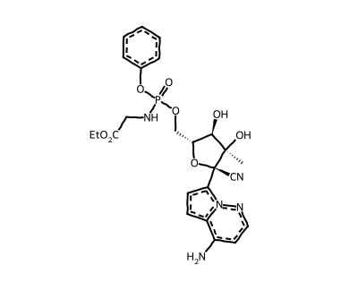 CCOC(=O)CNP(=O)(OC[C@H]1O[C@@](C#N)(c2ccc3c(N)ccnn23)[C@](C)(O)[C@@H]1O)Oc1ccccc1